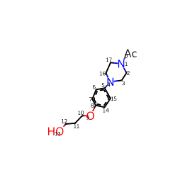 CC(=O)N1CCN(c2ccc(OCCCO)cc2)CC1